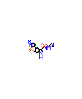 COc1nc(N(C)C)ccc1-c1cc2c(C(=O)NOCCN(C)C)c[nH]c2cc1Cl